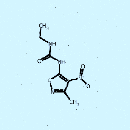 CCNC(=O)Nc1onc(C)c1[N+](=O)[O-]